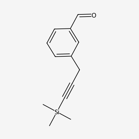 C[Si](C)(C)C#CCc1cccc(C=O)c1